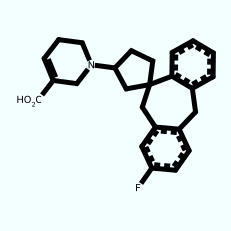 O=C(O)C1=CCCN(C2CCC3(Cc4cc(F)ccc4Cc4ccccc43)C2)C1